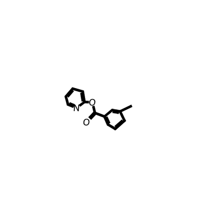 Cc1cccc(C(=O)Oc2ccccn2)c1